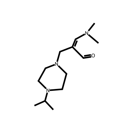 CC(C)N1CCN(CC(C=O)=CN(C)C)CC1